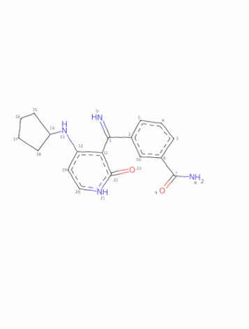 N=C(c1cccc(C(N)=O)c1)c1c(NC2CCCC2)cc[nH]c1=O